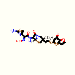 Nc1nc(C(=NO)C(=O)NC2C(=O)N3CC(C=CSc4cc(=O)c5occc5s4)(C(=O)O)CS[C@H]23)cs1